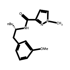 CCCC[C@@H](Cc1cccc(OC)c1)NC(=O)c1ccn(C)n1